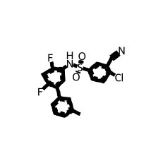 Cc1cccc(-c2cc(NS(=O)(=O)c3ccc(Cl)c(C#N)c3)c(F)cc2F)c1